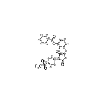 O=C(Oc1cc(CN2CC(=O)N(c3ccc(S(=O)(=O)C(F)(F)F)cc3)C2=O)ccn1)c1ccccc1